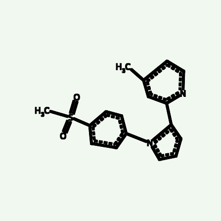 Cc1ccnc(-c2cccn2-c2ccc(S(C)(=O)=O)cc2)c1